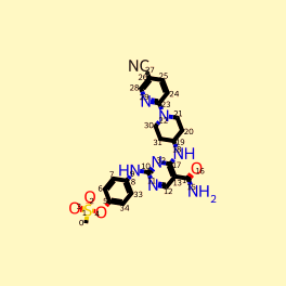 CS(=O)(=O)Oc1ccc(Nc2ncc(C(N)=O)c(NC3CCN(c4ccc(C#N)cn4)CC3)n2)cc1